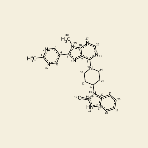 Cc1ncc(-c2nc3c(N4CCC(n5c(=O)[nH]c6ccccc65)CC4)ncnc3n2C)cn1